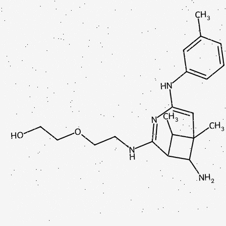 Cc1cccc(NC2=CC3(C)C(C)C(C(NCCOCCO)=N2)C3N)c1